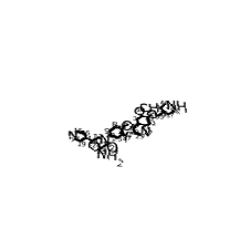 COc1cc2c(Oc3ccc(N(CCc4ccncc4)C(=O)C(N)=O)cc3F)ccnc2cc1OCC1CCNCC1